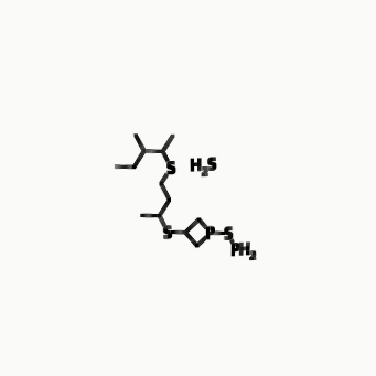 CCC(C)C(C)SCCC(C)SC1CP(SP)C1.S